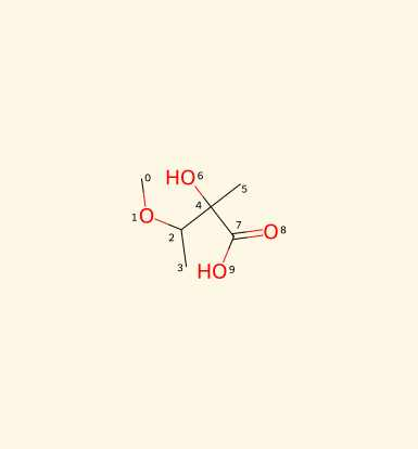 COC(C)C(C)(O)C(=O)O